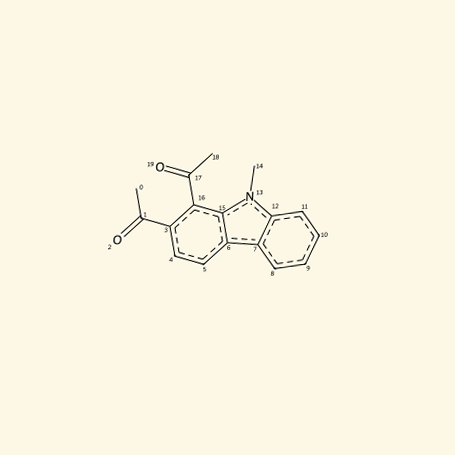 CC(=O)c1ccc2c3ccccc3n(C)c2c1C(C)=O